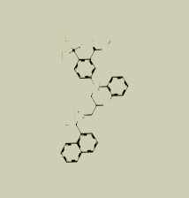 COC(=O)c1cc(N2CC(CN[C@H](C)c3cccc4ccccc34)Oc3ccccc32)ccc1C(F)(F)F